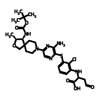 C[C@@H]1OCC2(CCN(c3cnc(Sc4cccc(NC(CC=O)C(=O)O)c4Cl)c(N)n3)CC2)[C@@H]1NC(=O)OC(C)(C)C